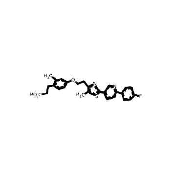 Cc1cc(OCCc2nc(-c3ccc(-c4ccc(F)cc4)nc3)sc2C)ccc1CCC(=O)O